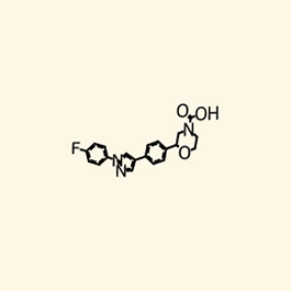 O=C(O)N1CCOC(c2ccc(-c3cnn(-c4ccc(F)cc4)c3)cc2)C1